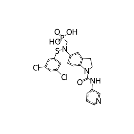 O=C(Nc1cccnc1)N1CCc2cc(N(CP(=O)(O)O)Sc3cc(Cl)cc(Cl)c3)ccc21